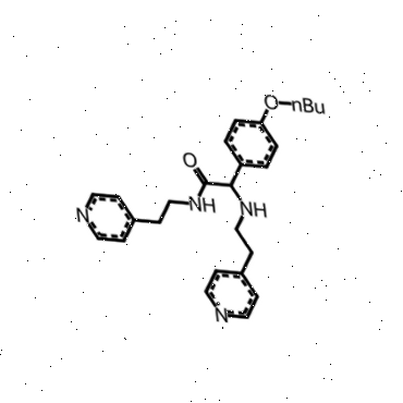 CCCCOc1ccc(C(NCCc2ccncc2)C(=O)NCCc2ccncc2)cc1